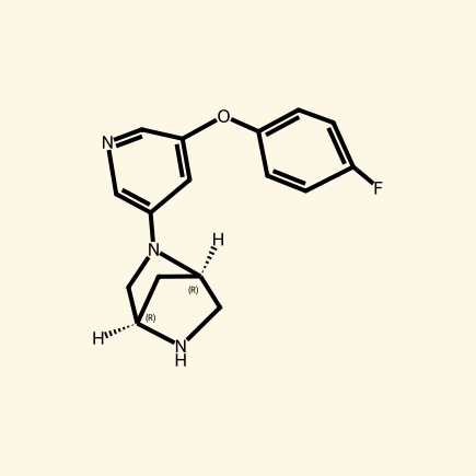 Fc1ccc(Oc2cncc(N3C[C@H]4C[C@@H]3CN4)c2)cc1